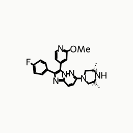 COc1cc(-c2c(-c3ccc(F)cc3)nc3ccc(N4C[C@@H](C)N[C@@H](C)C4)nn23)ccn1